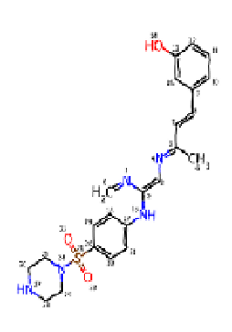 C=N\C(=C/N=C(C)/C=C/c1cccc(O)c1)Nc1ccc(S(=O)(=O)N2CCNCC2)cc1